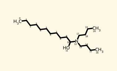 CCCCCCCCCCC(O)N(CCCC)CCCC